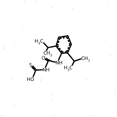 CC(C)c1cccc(C(C)C)c1NC(=O)NC(O)=S